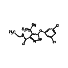 CCOC(=O)c1n[nH]c(Oc2cc(Cl)cc(Cl)c2)c1[C@@H](C)O